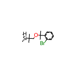 C[SiH](C)C(C)(C)COC(C)(C)c1ccccc1Br